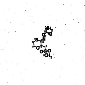 CS(=O)(=O)CC1OCCSC1=NOC(N)=O